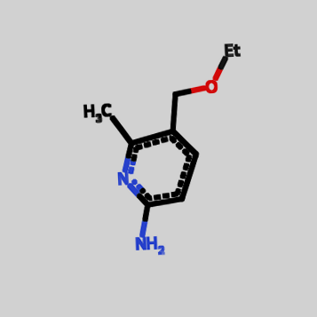 CCOCc1ccc(N)nc1C